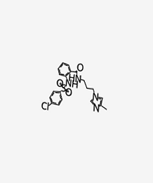 Cc1cn(CCCNC(=O)c2ccccc2NS(=O)(=O)c2ccc(Cl)cc2)cn1